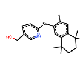 Cc1cc2c(cc1[Se]c1ccc(CO)cn1)C(C)(C)CCC2(C)C